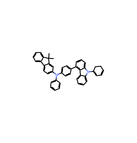 CC1(C)c2ccccc2-c2ccc(N(c3ccccc3)c3ccc(-c4cccc5c4c4ccccc4n5C4=CC=CCC4)cc3)cc21